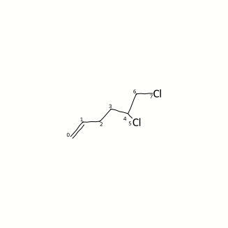 C=CCCC(Cl)CCl